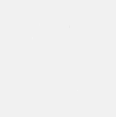 CCCCCCC(CCC)CC(CC)CCC